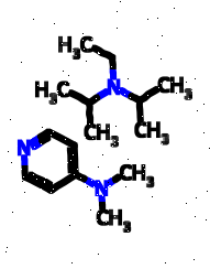 CCN(C(C)C)C(C)C.CN(C)c1ccncc1